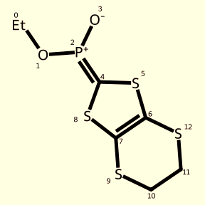 CCO[P+]([O-])=c1sc2c(s1)SCCS2